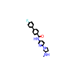 CNC1CCN(c2ccc(NC(=O)c3ccc(-c4ccc(F)cc4)cc3)cn2)C1